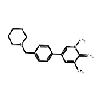 C=C1C(C)=CC(c2ccc(CN3CCCCC3)cc2)=CN1C